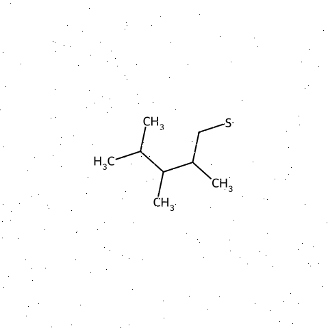 CC(C)C(C)C(C)C[S]